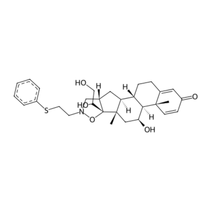 C[C@]12C=CC(=O)C=C1CC[C@@H]1[C@@H]2[C@@H](O)C[C@@]2(C)[C@H]1C[C@H]1CN(CCSc3ccccc3)O[C@]12C(O)CO